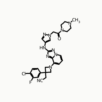 CN1CCN(C(=O)Cn2cc(Nc3nc4c(N5CC(CC#N)(c6ccc(Cl)c(F)c6)C5)cccn4n3)cn2)CC1